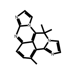 Cc1ccc2nc3nccn3c3c2c1-c1nccn1C3(C)C